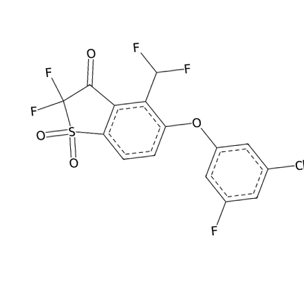 O=C1c2c(ccc(Oc3cc(F)cc(Cl)c3)c2C(F)F)S(=O)(=O)C1(F)F